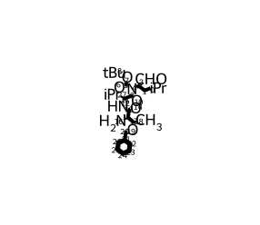 CC(C)C[C@@H]([C]=O)N(C(=O)OC(C)(C)C)C(=O)[C@@H](NC(=O)[C@@H](N)[C@@H](C)OCc1ccccc1)C(C)C